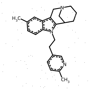 Cc1ccc2c(c1)c1c(n2CCc2ccc(C)nc2)C2CCCN(C1)C2